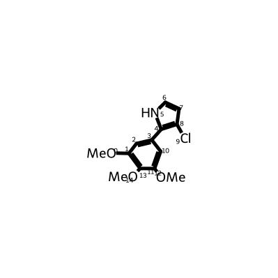 COc1cc(-c2[nH]ccc2Cl)cc(OC)c1OC